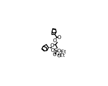 CCOP(=O)(OCC)SCC(COC(=O)C1CC2C=CC1C2)OC(=O)[C@@H]1CC2C=CC1C2